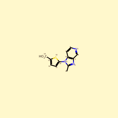 Cc1nc2cnccc2n1-c1ccc(C(=O)O)s1